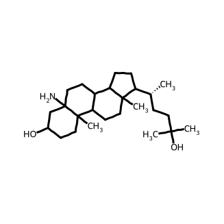 C[C@H](CCC(C)(C)O)C1CCC2C3CCC4(N)CC(O)CCC4(C)C3CCC21C